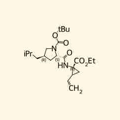 C=CC1C[C@]1(NC(=O)[C@@H]1C[C@@H](CC(C)C)CN1C(=O)OC(C)(C)C)C(=O)OCC